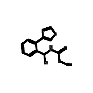 CCC(NC(=O)OC(C)(C)C)c1ccccc1-c1ccsc1